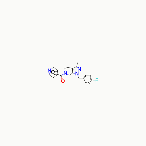 Cc1nn(Cc2ccc(F)cc2)c2c1CCN(C(=O)C13CCN(CC1)CC3)C2